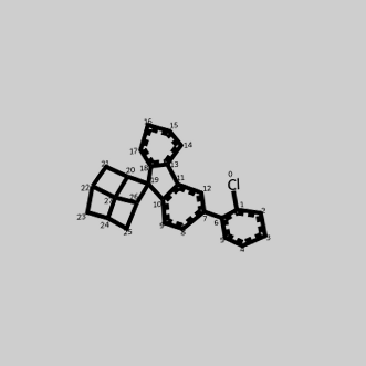 Clc1ccccc1-c1ccc2c(c1)-c1ccccc1C21C2CC3CC4CC1C342